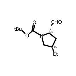 CC[C@@H]1C[C@@H](C=O)N(C(=O)OC(C)(C)C)C1